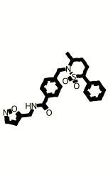 CC1CCC(c2ccccc2)S(=O)(=O)N1Cc1ccc(C(=O)NCc2ccno2)cc1